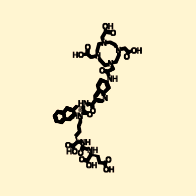 O=C(O)CC[C@H](NC(=O)N[C@@H](CCCCNC(=O)[C@H](Cc1ccc2ccccc2c1)NC(=O)c1cnc2cc(NC(=O)CN3CCN(CC(=O)O)CCN(CC(=O)O)CCN(CC(=O)O)CC3)ccc2c1)C(=O)O)C(=O)O